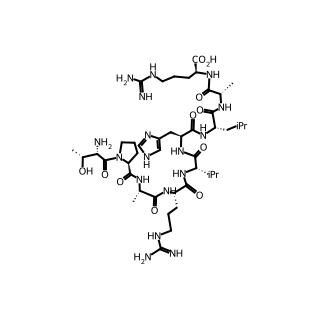 CC(C)C[C@H](NC(=O)[C@H](Cc1c[nH]cn1)NC(=O)[C@@H](NC(=O)[C@H](CCCNC(=N)N)NC(=O)[C@H](C)NC(=O)[C@@H]1CCCN1C(=O)[C@@H](N)[C@@H](C)O)C(C)C)C(=O)N[C@@H](C)C(=O)N[C@@H](CCCNC(=N)N)C(=O)O